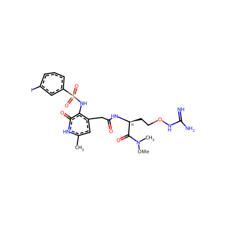 CON(C)C(=O)[C@H](CCONC(=N)N)NC(=O)Cc1cc(C)[nH]c(=O)c1NS(=O)(=O)c1cccc(I)c1